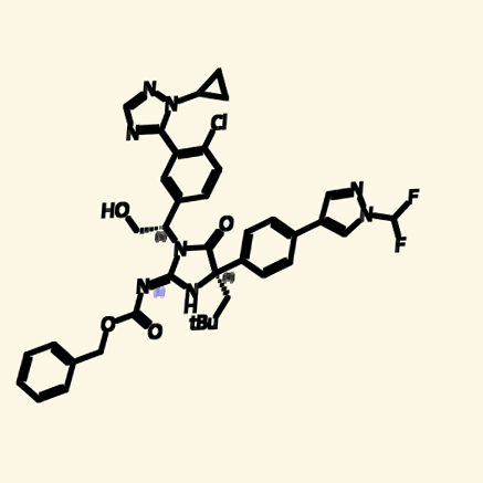 CC(C)(C)C[C@]1(c2ccc(-c3cnn(C(F)F)c3)cc2)N/C(=N\C(=O)OCc2ccccc2)N([C@H](CO)c2ccc(Cl)c(-c3ncnn3C3CC3)c2)C1=O